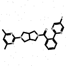 Cc1cc(C)nc(N2CC3CN(C(=O)c4ccccc4-c4ncc(F)cn4)CC3C2)n1